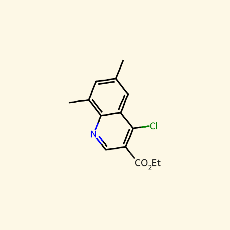 CCOC(=O)c1cnc2c(C)cc(C)cc2c1Cl